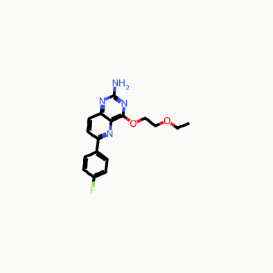 CCOCCOc1nc(N)nc2ccc(-c3ccc(F)cc3)nc12